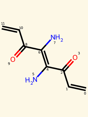 C=CC(=O)C(N)=C(N)C(=O)C=C